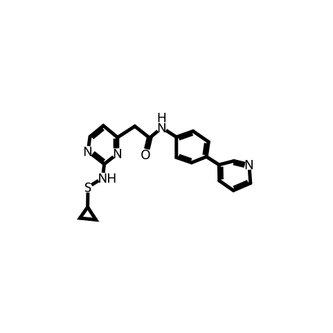 O=C(Cc1ccnc(NSC2CC2)n1)Nc1ccc(-c2cccnc2)cc1